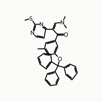 CSc1nccc(C(=CN(C)C)C(=O)c2cc(C)cc(OC(c3ccccc3)(c3ccccc3)c3ccccc3)c2)n1